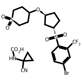 N#CC1(NC(=O)O)CC1.O=S1(=O)CCC(O[C@H]2CC[C@H](S(=O)(=O)c3ccc(Br)cc3C(F)(F)F)C2)CC1